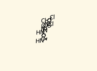 O=C1c2cnc(Nc3ccc4c(c3)CNCC43CC3)nc2OCN1c1c(Cl)cc(Cl)cc1Cl